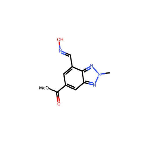 COC(=O)c1cc(C=NO)c2nn(C)nc2c1